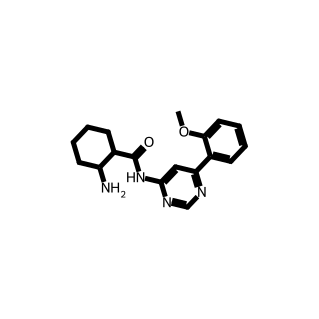 COc1ccccc1-c1cc(NC(=O)C2CCCCC2N)ncn1